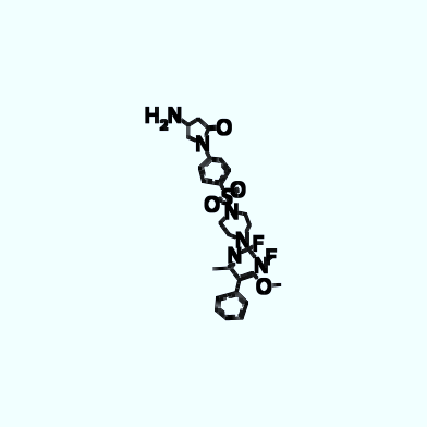 COC1=C(c2ccccc2)C(C)=NC(F)(N2CCN(S(=O)(=O)c3ccc(N4CC(N)CC4=O)cc3)CC2)N1F